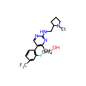 CCN1CCCC1CNc1ncc(-c2ccc(C(F)(F)F)cc2F)c(C)n1.O=CO